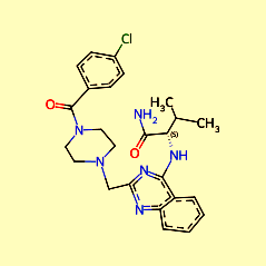 CC(C)[C@H](Nc1nc(CN2CCN(C(=O)c3ccc(Cl)cc3)CC2)nc2ccccc12)C(N)=O